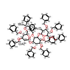 C=CCO[C@@H]1C(O[C@@H]2OC(COCc3ccccc3)[C@@H](OCc3ccccc3)[C@H](OCc3ccccc3)C2OC(C)=O)C(OCc2ccccc2)[C@@H](OCc2ccccc2)[C@H](OCc2ccccc2)C1O[C@H]1OC(CO[Si](c2ccccc2)(c2ccccc2)C(C)(C)C)[C@@H](OCc2ccccc2)C(OCc2ccccc2)[C@H]1OC(C)=O